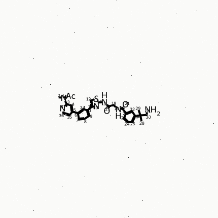 CC(=O)N(C)c1cc(-c2cccc(-c3csc(NC(=O)CNC(=O)c4cccc(C(C)(C)CN)c4)n3)c2)ccn1